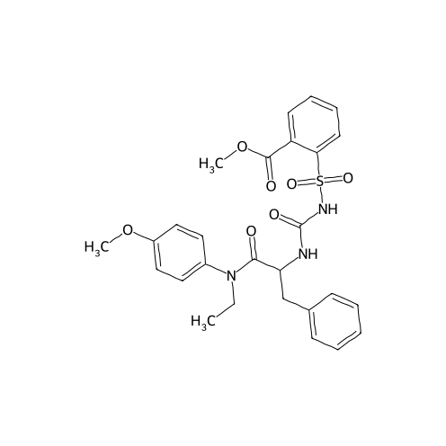 CCN(C(=O)C(Cc1ccccc1)NC(=O)NS(=O)(=O)c1ccccc1C(=O)OC)c1ccc(OC)cc1